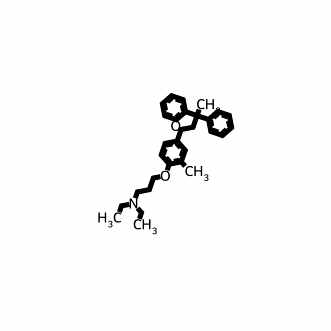 CCN(CC)CCCOc1ccc(C(=O)CC(C)(c2ccccc2)c2ccccc2)cc1C